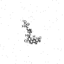 COCC(=O)NCCn1cc(CNc2cc(Cl)c3ncc(C#N)c(Nc4ccc(F)c(Cl)c4)c3c2)nn1